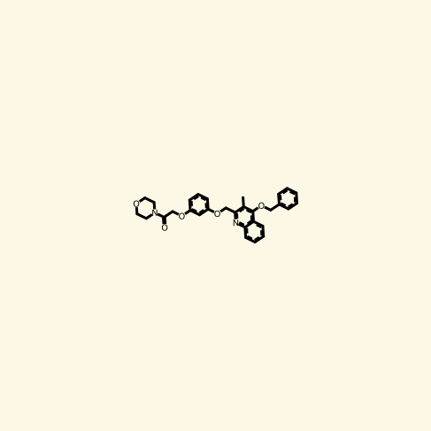 Cc1c(COc2cccc(OCC(=O)N3CCOCC3)c2)nc2ccccc2c1OCc1ccccc1